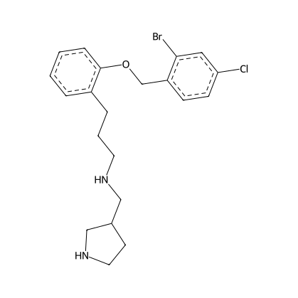 Clc1ccc(COc2ccccc2CCCNCC2CCNC2)c(Br)c1